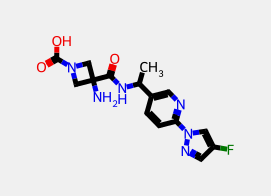 CC(NC(=O)C1(N)CN(C(=O)O)C1)c1ccc(-n2cc(F)cn2)nc1